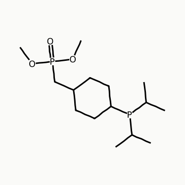 COP(=O)(CC1CCC(P(C(C)C)C(C)C)CC1)OC